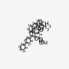 CC(C)(C)OC(=O)C[C@@H](C(=O)NN1[C@@H](Cc2ccccc2)COC1(C)C)c1coc(-c2ccc(-c3ccccc3)cc2)c1